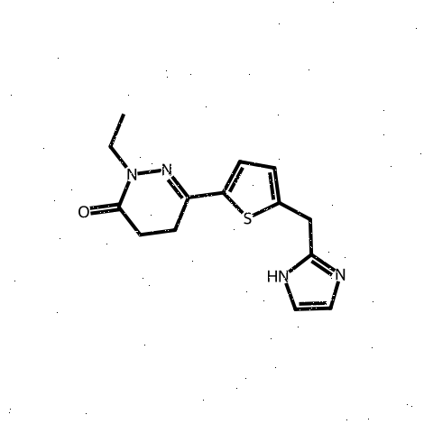 CCN1N=C(c2ccc(Cc3ncc[nH]3)s2)CCC1=O